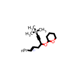 CCC/C=C/CC(C#C[Si](C)(C)C)OC1CCCCO1